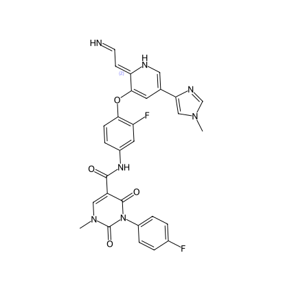 Cn1cnc(C2=CN/C(=C\C=N)C(Oc3ccc(NC(=O)c4cn(C)c(=O)n(-c5ccc(F)cc5)c4=O)cc3F)=C2)c1